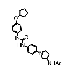 CC(=O)NC1CCN(c2ccc(NC(=O)Nc3ccc(OC4CCCC4)cc3)cc2)C1